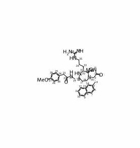 CNC(=O)[C@H](Cc1ccc2ccccc2c1)N1CC[C@H](CNC(=O)Cc2ccc(OC)cc2)N[C@@H](CCCNC(=N)N)C1=O